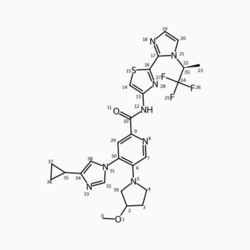 COC1CCN(c2cnc(C(=O)Nc3csc(-c4nccn4[C@@H](C)C(F)(F)F)n3)cc2-n2cnc(C3CC3)c2)C1